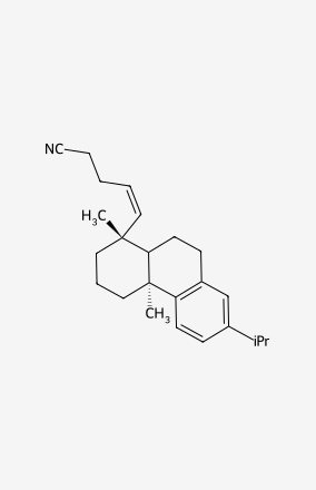 CC(C)c1ccc2c(c1)CCC1[C@@](C)(/C=C\CCC#N)CCC[C@]21C